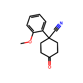 COc1ccccc1C1(C#N)CCC(=O)CC1